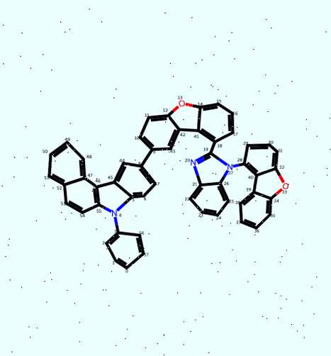 c1ccc(-n2c3ccc(-c4ccc5oc6cccc(-c7nc8ccccc8n7-c7cccc8oc9ccccc9c78)c6c5c4)cc3c3c4ccccc4ccc32)cc1